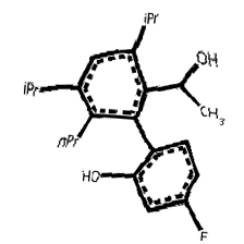 CCCc1c(C(C)C)cc(C(C)C)c(C(C)O)c1-c1ccc(F)cc1O